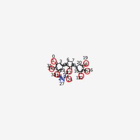 COc1cc([C@H]2CC[C@H](c3cc(OC)c(OC)c(OC)c3)C2OCC(=O)N(C)C)cc(OC)c1OC